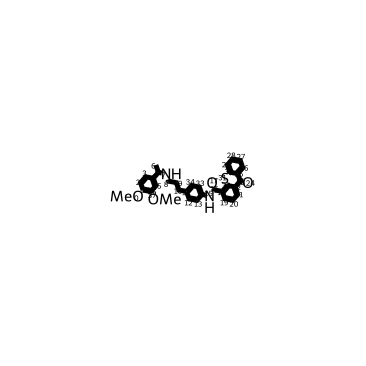 COc1ccc(C(C)NCCCc2ccc(NC(=O)c3cccc4c(=O)c5ccccc5sc34)cc2)cc1OC